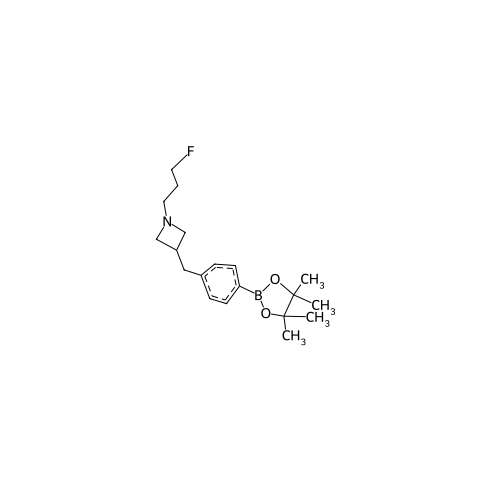 CC1(C)OB(c2ccc(CC3CN(CCCF)C3)cc2)OC1(C)C